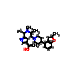 C=C(O)C1=CN=C(C(C(C)C)N(C)C(C)CN2CCC(c3cccc4c3CC(C)O4)CC2)C1